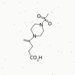 C=C(CCC(=O)O)N1CCN(S(C)(=O)=O)CC1